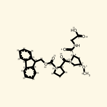 CO[C@@H]1C[C@@H](C(=O)NCC(=O)O)N(C(=O)C2CCCN2C(=O)OCC2c3ccccc3-c3ccccc32)C1